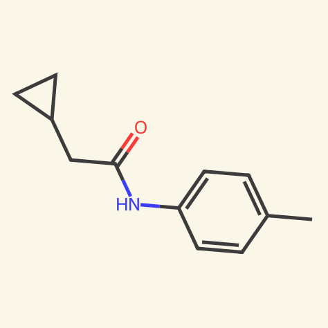 Cc1ccc(NC(=O)CC2CC2)cc1